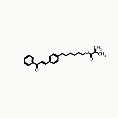 C=C(C)C(=O)OCCCCCCc1ccc(C=CC(=O)c2ccccc2)cc1